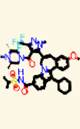 COc1ccc2c(c1)C=C(c1c(C(=O)N3C[C@@H](C)N(C)[C@H](C)C3)c(C(F)(F)F)nn1C)Cn1c-2c(C2CCCCC2)c2ccc(C(=O)NS(=O)(=O)C(C)C)cc21